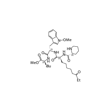 CCC(=O)CCCCC[C@H](NC(=O)[C@H]1CCCCN1)C(=O)N[C@@H](Cc1cn(OC)c2ccccc12)C(=O)N[C@H](C(=O)OC)C(C)CC